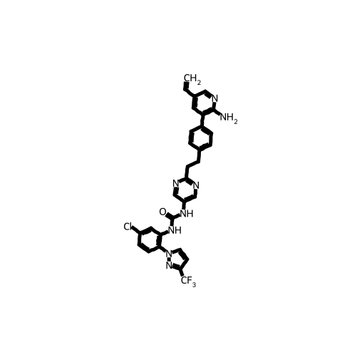 C=Cc1cnc(N)c(-c2ccc(CCc3ncc(NC(=O)Nc4cc(Cl)ccc4-n4ccc(C(F)(F)F)n4)cn3)cc2)c1